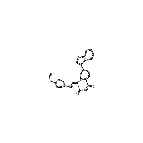 N#CCc1ccc(NC=C2C(=O)NC(=O)c3ccc(-c4csc5ccccc45)cc32)cc1